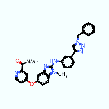 CNC(=O)c1cc(Oc2ccc3c(c2)nc(Nc2cccc(-c4cn(Cc5ccccc5)nn4)c2)n3C)ccn1